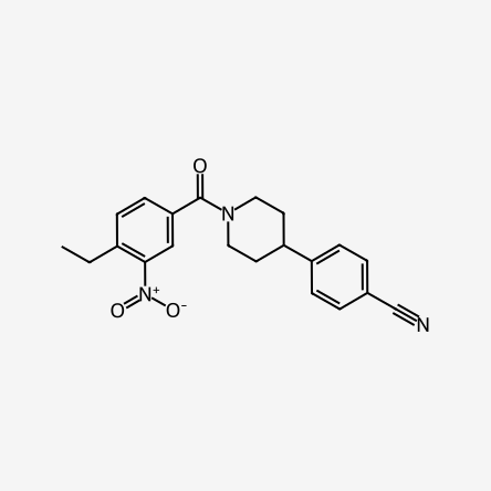 CCc1ccc(C(=O)N2CCC(c3ccc(C#N)cc3)CC2)cc1[N+](=O)[O-]